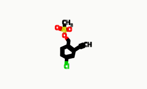 C#Cc1cc(Cl)ccc1COS(C)(=O)=O